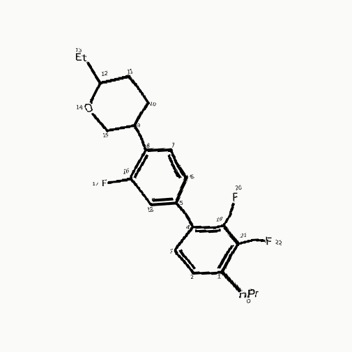 CCCc1ccc(-c2ccc(C3CCC(CC)OC3)c(F)c2)c(F)c1F